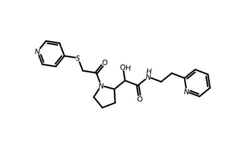 O=C(NCCc1ccccn1)C(O)C1CCCN1C(=O)CSc1ccncc1